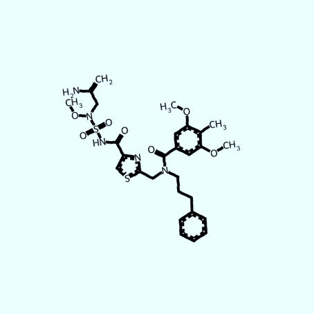 C=C(N)CN(OC)S(=O)(=O)NC(=O)c1csc(CN(CCCc2ccccc2)C(=O)c2cc(OC)c(C)c(OC)c2)n1